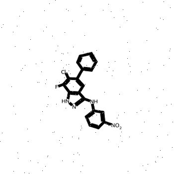 O=[N+]([O-])c1cccc(Nc2n[nH]c3c(F)c(Cl)c(-c4ccccc4)cc23)c1